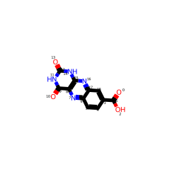 O=C(O)c1ccc2nc3c(=O)[nH]c(=O)[nH]c3nc2c1